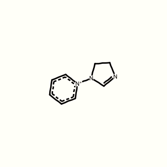 C1=NCCN1[n+]1ccccc1